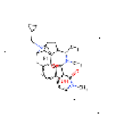 CCC12CCC(C(C)N(C)C(=O)c3cccn(C)c3=O)C13CCN(CC1CC1)C2Cc1ccc(O)cc13